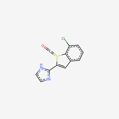 O=C=S1C(c2ncc[nH]2)=Cc2cccc(Cl)c21